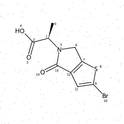 C[C@H](C(=O)O)N1Cc2sc(Br)cc2C1=O